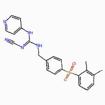 Cc1cccc(S(=O)(=O)c2ccc(CNC(=NC#N)Nc3ccncc3)cc2)c1C